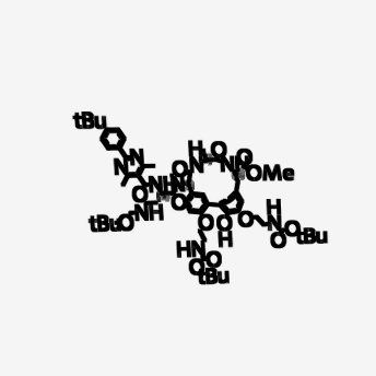 COC(=O)[C@@H]1Cc2cc(OCCNC(=O)OC(C)(C)C)c(O)c(c2)-c2cc(ccc2OCCNC(=O)OC(C)(C)C)[C@H](N(C)C(=O)[C@H](CCNCOC(C)(C)C)NC(=O)c2c(C)nc(-c3ccc(C(C)(C)C)cc3)nc2C)C(=O)N[C@@H](C)C(=O)N1